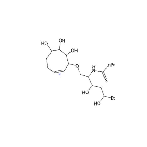 CCCC(=S)NC(COC1/C=C\CCC(O)C(O)C1O)C(O)CC(O)CC